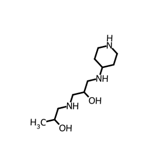 CC(O)CNCC(O)CNC1CCNCC1